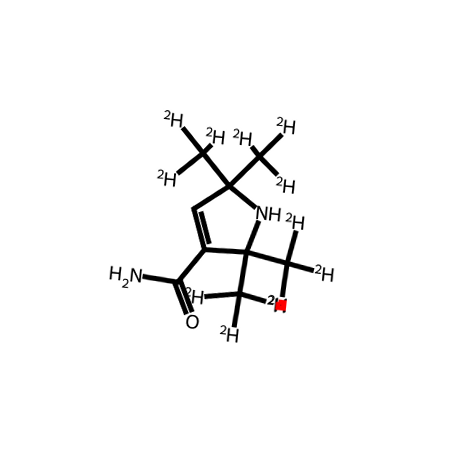 [2H]C([2H])([2H])C1(C([2H])([2H])[2H])C=C(C(N)=O)C(C([2H])([2H])[2H])(C([2H])([2H])[2H])N1